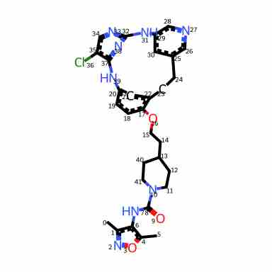 Cc1noc(C)c1NC(=O)N1CCC(CCOc2ccc3cc2CCc2cncc(c2)Nc2ncc(Cl)c(n2)N3)CC1